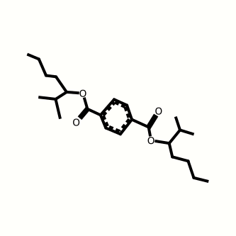 CCCCC(OC(=O)c1ccc(C(=O)OC(CCCC)C(C)C)cc1)C(C)C